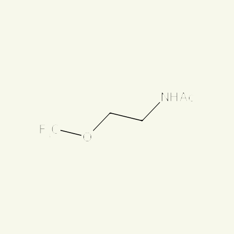 CC(=O)NCCOC(F)(F)F